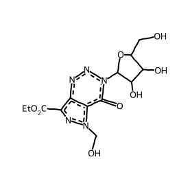 CCOC(=O)c1nn(CO)c2c(=O)n(C3OC(CO)C(O)C3O)nnc12